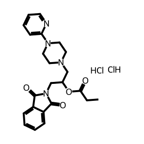 CCC(=O)OC(CN1CCN(c2ccccn2)CC1)CN1C(=O)c2ccccc2C1=O.Cl.Cl